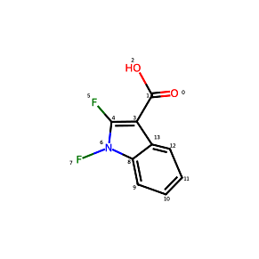 O=C(O)c1c(F)n(F)c2ccccc12